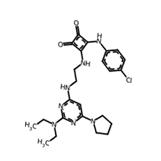 CCN(CC)c1nc(NCCNc2c(Nc3ccc(Cl)cc3)c(=O)c2=O)cc(N2CCCC2)n1